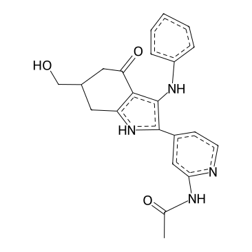 CC(=O)Nc1cc(-c2[nH]c3c(c2Nc2ccccc2)C(=O)CC(CO)C3)ccn1